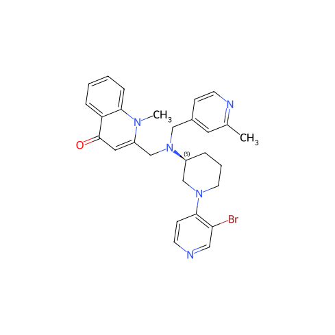 Cc1cc(CN(Cc2cc(=O)c3ccccc3n2C)[C@H]2CCCN(c3ccncc3Br)C2)ccn1